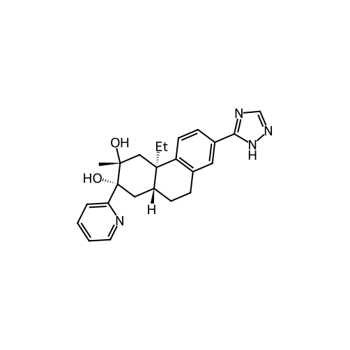 CC[C@@]12C[C@@](C)(O)[C@](O)(c3ccccn3)C[C@H]1CCc1cc(-c3ncn[nH]3)ccc12